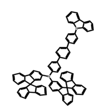 c1ccc2c(c1)-c1ccccc1C21c2ccccc2-c2ccc(N(c3ccc(-c4ccc(-c5ccc(-n6c7ccccc7c7ccccc76)cc5)cc4)cc3)c3ccc4c(c3)C3(c5ccccc5-c5ccccc53)c3ccccc3-4)cc21